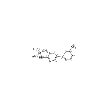 CCCC(C)(C)Nc1ccc(-c2cccc(C(F)(F)F)c2)cn1